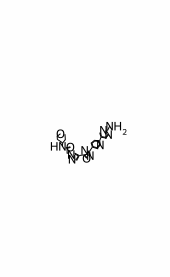 Nc1ncc(-c2ccc(-c3noc(-c4cnn(CC(=O)NC5CCOCC5)c4)n3)cn2)cn1